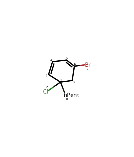 CCCCCC1(Cl)C=CC=C(Br)C1